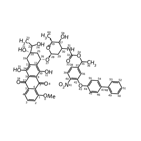 COc1cccc2c1C(=O)c1c(O)c3c(c(O)c1C2=O)C[C@@](O)(C(C)O)C[C@@H]3O[C@@H]1CC(NC(=O)OC(C)c2ccc([N+](=O)[O-])c(Oc3ccc(-c4ccccc4)cc3)c2)C(O)[C@H](C)O1